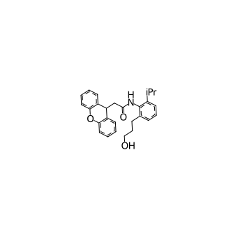 CC(C)c1cccc(CCCO)c1NC(=O)CC1c2ccccc2Oc2ccccc21